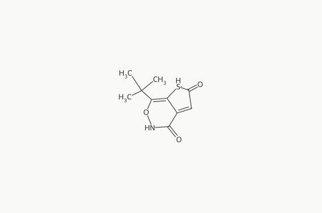 CC(C)(C)C1=C2[SH]C(=O)C=C2C(=O)NO1